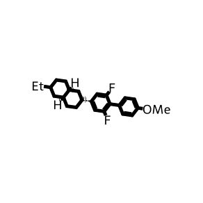 CCC1CC[C@@H]2C[C@H](c3cc(F)c(-c4ccc(OC)cc4)c(F)c3)CC[C@@H]2C1